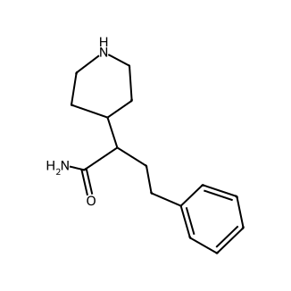 NC(=O)C(CCc1ccccc1)C1CCNCC1